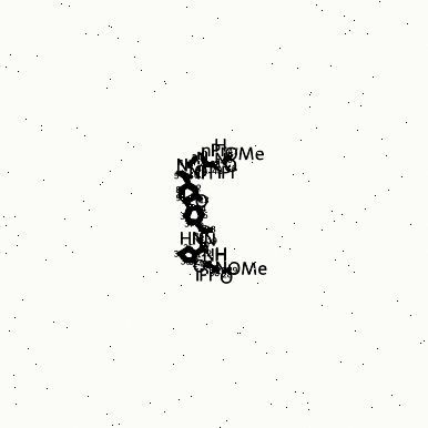 CCCN(Cc1ncc(-c2ccc3c(c2)oc2cc(-c4cnc([C@@H](NC(=O)[C@@H](NC(=O)OC)C(C)C)C5CCCC5)[nH]4)ccc23)[nH]1)C(=O)[C@@H](NC(=O)OC)C(C)C